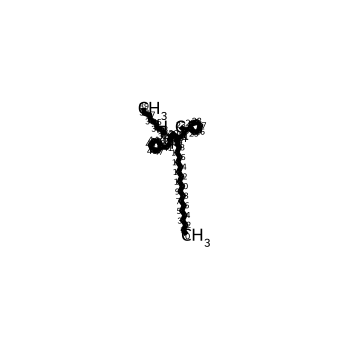 CCCCCCCCCCCCCCCCCCC[n+]1c(CC(C)c2ccccc2)cn(CCCCCCCC)c1Cc1ccccc1